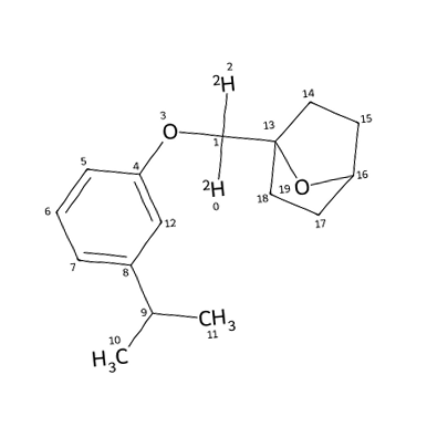 [2H]C([2H])(Oc1cccc(C(C)C)c1)C12CCC(CC1)O2